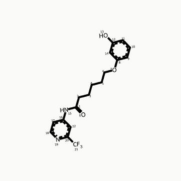 O=C(CCCCCOc1cccc(O)c1)Nc1ccnc(C(F)(F)F)c1